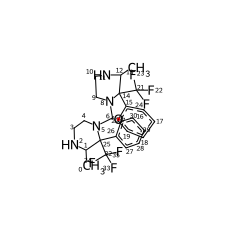 CC1NCCN(C(=O)N2CCNC(C)C2(c2ccccc2)C(F)(F)F)C1(c1ccccc1)C(F)(F)F